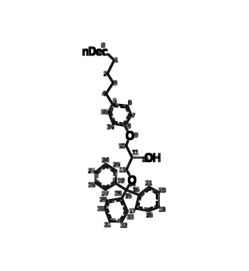 CCCCCCCCCCCCCCc1ccc(OCC(O)COC(c2ccccc2)(c2ccccc2)c2ccccc2)cc1